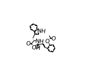 CC(=O)Oc1ccccc1C=CC(=O)N[C@@H](Cc1c[nH]c2ccccc12)C(=O)O